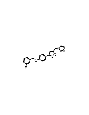 Fc1cccc(COc2ccc(-c3cc(Cn4ccnc4)on3)cc2)c1